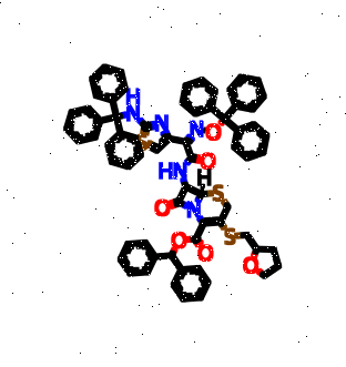 O=C(OC(c1ccccc1)c1ccccc1)C1=C(SCC2CCCO2)CS[C@@H]2C(NC(=O)/C(=N\OC(c3ccccc3)(c3ccccc3)c3ccccc3)c3csc(NC(c4ccccc4)(c4ccccc4)c4ccccc4)n3)C(=O)N12